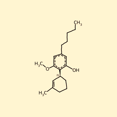 CCCCCc1cc(O)c([C@@H]2C=C(C)CCC2)c(OC)c1